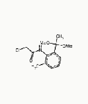 COC(C)(OC)c1cccc(C)c1NC(=O)CCl